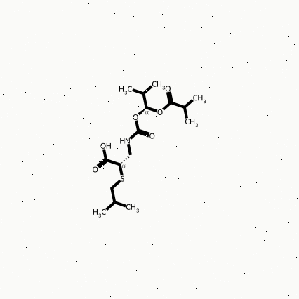 CC(C)CS[C@@H](CNC(=O)O[C@H](OC(=O)C(C)C)C(C)C)C(=O)O